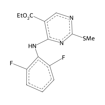 CCOC(=O)c1cnc(SC)nc1Nc1c(F)cccc1F